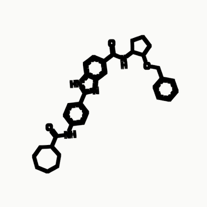 O=C(NC1CCCC1OCc1ccccc1)c1ccc2[nH]c(-c3ccc(NC(=O)C4CCCCCC4)cc3)nc2c1